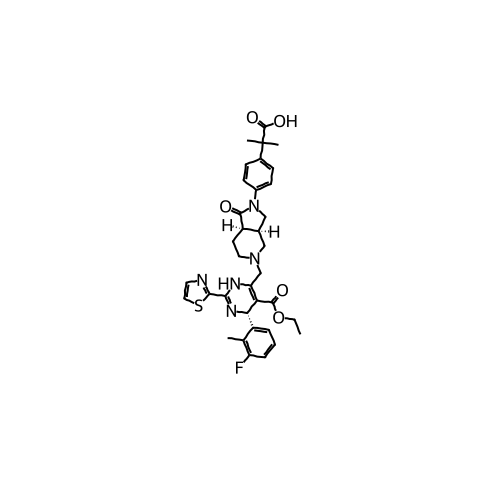 CCOC(=O)C1=C(CN2CC[C@H]3C(=O)N(c4ccc(C(C)(C)C(=O)O)cc4)C[C@H]3C2)NC(c2nccs2)=N[C@H]1c1cccc(F)c1C